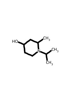 CC(C)N1CCC(O)CC1C